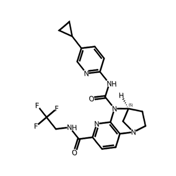 O=C(NCC(F)(F)F)c1ccc2c(n1)N(C(=O)Nc1ccc(C3CC3)cn1)[C@H]1CCN2C1